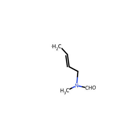 [CH2]/C=C/CN(C)C=O